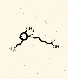 C/C=C/c1ccc(C)c(OCCCCCC(=O)O)c1